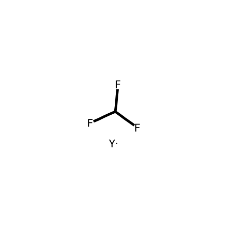 FC(F)F.[Y]